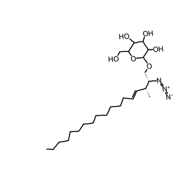 CCCCCCCCCCCCC/C=C/[C@@H](C)[C@H](COC1OC(CO)C(O)C(O)C1O)N=[N+]=[N-]